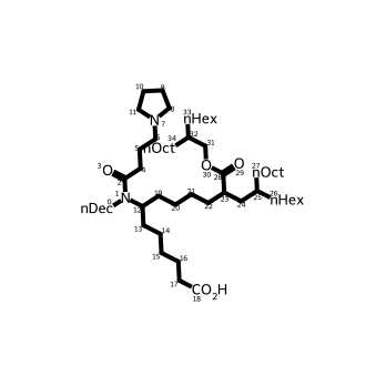 CCCCCCCCCCN(C(=O)CCCN1CCCC1)C(CCCCCC(=O)O)CCCCC(CC(CCCCCC)CCCCCCCC)C(=O)OCC(CCCCCC)CCCCCCCC